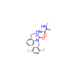 CN[C@@H](C)C(=O)N[C@H]1CCc2ccccc2N(Cc2cc(F)ccc2F)C1=O